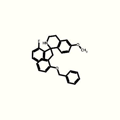 COc1ccc2c(c1)CCNC2(Cc1ccccc1OCc1ccccc1)c1ccccc1F